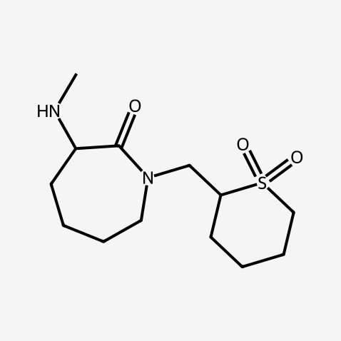 CNC1CCCCN(CC2CCCCS2(=O)=O)C1=O